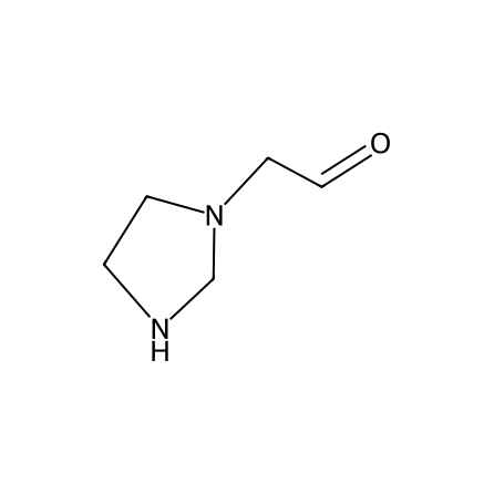 O=CCN1CCNC1